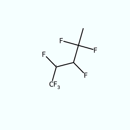 CC(F)(F)C(F)[C](F)C(F)(F)F